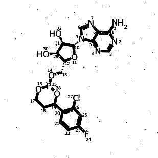 Nc1ncnc2c1ncn2[C@@H]1O[C@H](COP2OCCC(c3ccc(F)cc3Cl)O2)[C@@H](O)[C@H]1O